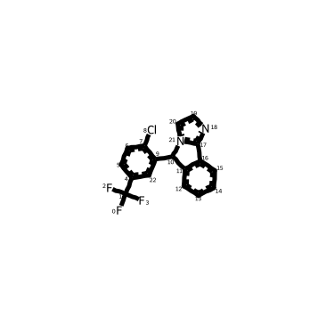 FC(F)(F)c1ccc(Cl)c(C2c3ccccc3-c3nccn32)c1